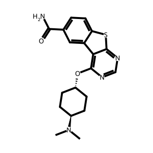 CN(C)[C@H]1CC[C@H](Oc2ncnc3sc4ccc(C(N)=O)cc4c23)CC1